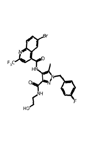 Cc1c(NC(=O)c2cc(C(F)(F)F)nc3ccc(Br)cc23)c(C(=O)NCCO)nn1Cc1ccc(F)cc1